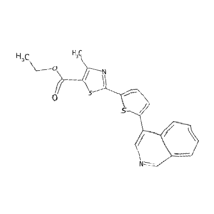 CCOC(=O)c1sc(-c2ccc(-c3cncc4ccccc34)s2)nc1C